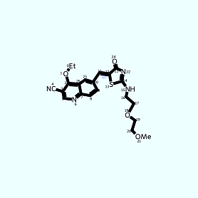 CCOc1c(C#N)cnc2ccc(/C=C3\SC(NCCOCCOC)=NC3=O)cc12